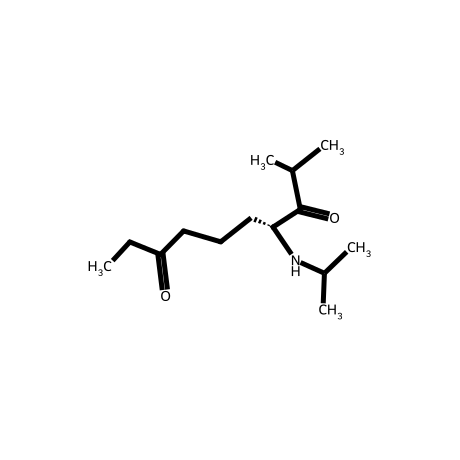 CCC(=O)CCC[C@@H](NC(C)C)C(=O)C(C)C